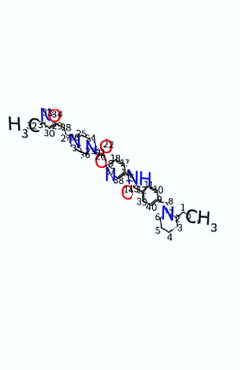 CCC1CCCCN1Cc1ccc(C(=O)Nc2ccc(OC(=O)N3CCN(CCc4cc(C)no4)CC3)nc2)cc1